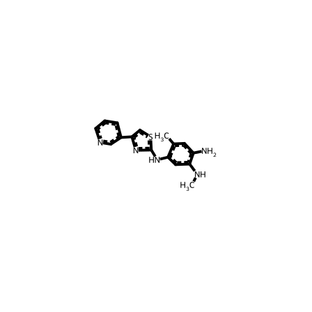 CNc1cc(Nc2nc(-c3cccnc3)cs2)c(C)cc1N